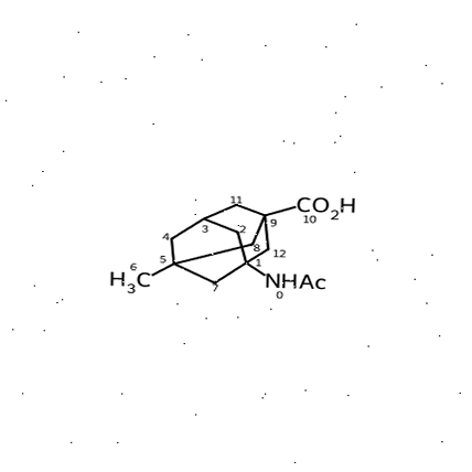 CC(=O)NC12CC3CC(C)(C1)CC(C(=O)O)(C3)C2